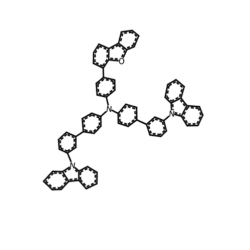 c1cc(-c2ccc(N(c3ccc(-c4cccc(-n5c6ccccc6c6ccccc65)c4)cc3)c3ccc(-c4cccc5c4oc4ccccc45)cc3)cc2)cc(-n2c3ccccc3c3ccccc32)c1